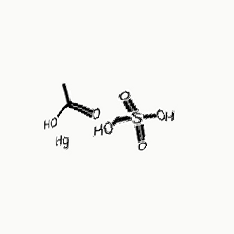 CC(=O)O.O=S(=O)(O)O.[Hg]